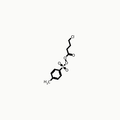 Cc1ccc(S(=O)(=O)OOC(=O)CCCCl)cc1